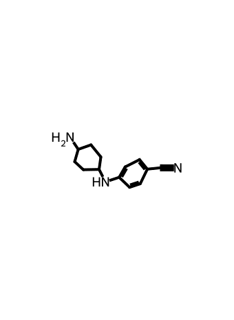 N#Cc1ccc(NC2CCC(N)CC2)cc1